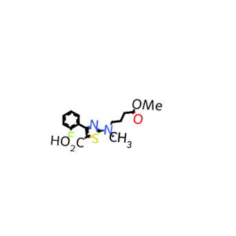 COC(=O)CCCN(C)c1nc(-c2ccccc2F)c(C(=O)O)s1